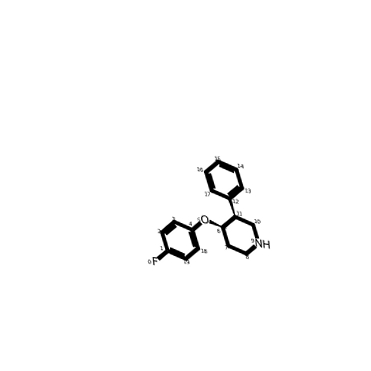 Fc1ccc(O[C@@H]2CCNC[C@@H]2c2ccccc2)cc1